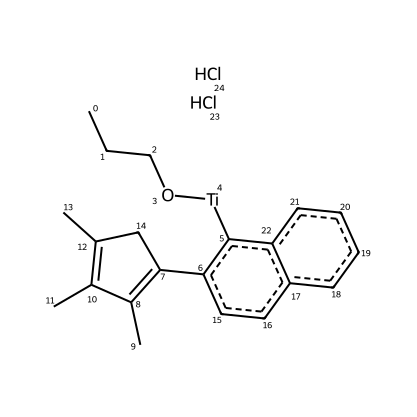 CCC[O][Ti][c]1c(C2=C(C)C(C)=C(C)C2)ccc2ccccc12.Cl.Cl